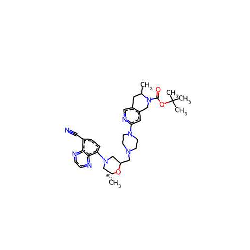 CC1Cc2cnc(N3CCN(CC4CN(c5ccc(C#N)c6nccnc56)C[C@@H](C)O4)CC3)cc2CN1C(=O)OC(C)(C)C